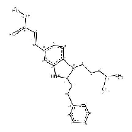 CN(C)CCCN1c2ccc(/C=C/C(=O)NO)cc2NC1CCc1ccccc1